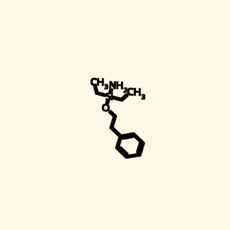 CC[Si](N)(CC)OCCc1ccccc1